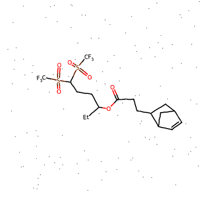 CCC(CCC(S(=O)(=O)C(F)(F)F)S(=O)(=O)C(F)(F)F)OC(=O)CCC1CC2C=CC1C2